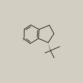 CC(C)(C)[C@H]1CCc2ccncc21